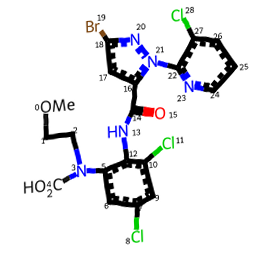 COCCN(C(=O)O)c1cc(Cl)cc(Cl)c1NC(=O)c1cc(Br)nn1-c1ncccc1Cl